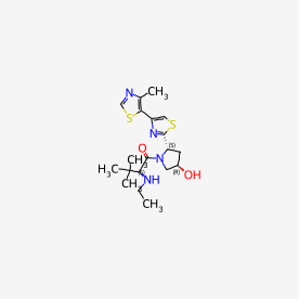 CCN[C@H](C(=O)N1C[C@H](O)C[C@H]1c1nc(-c2scnc2C)cs1)C(C)(C)C